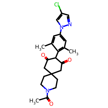 CC(=O)N1CCC2(CC1)CC(=O)C(c1c(C)cc(-n3cc(Cl)cn3)cc1C)C(=O)C2